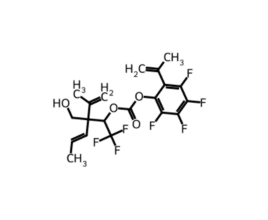 C=C(C)c1c(F)c(F)c(F)c(F)c1OC(=O)OC(C(F)(F)F)C(/C=C/C)(CO)C(=C)C